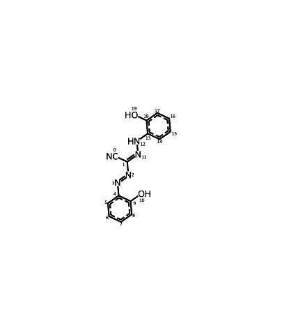 N#CC(/N=N/c1ccccc1O)=N\Nc1ccccc1O